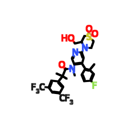 Cc1cc(F)ccc1-c1cc(N2CCS(=O)(=O)CC2CO)ncc1N(C)C(=O)C(C)(C)c1cc(C(F)(F)F)cc(C(F)(F)F)c1